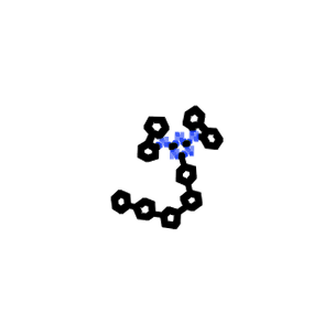 c1ccc(-c2ccc(-c3cccc(-c4cccc(-c5ccc(-c6nc(-n7c8ccccc8c8ccccc87)nc(-n7c8ccccc8c8ccccc87)n6)cc5)c4)c3)cc2)cc1